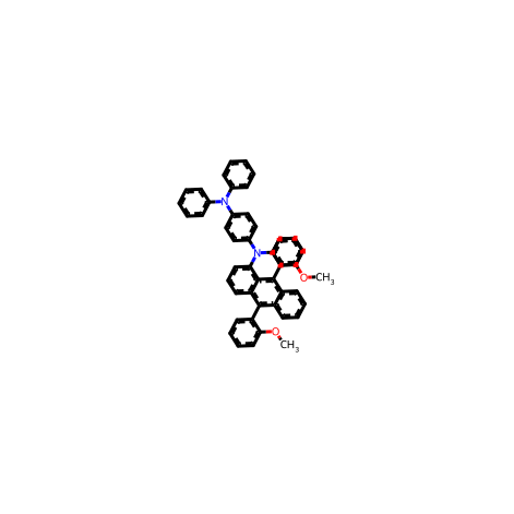 COc1ccccc1-c1c2ccccc2c(-c2ccccc2OC)c2c(N(c3ccccc3)c3ccc(N(c4ccccc4)c4ccccc4)cc3)cccc12